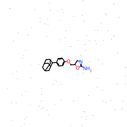 NC1=NCC(COc2ccc(C3C4CC5CC(C4)CC3C5)cc2)O1